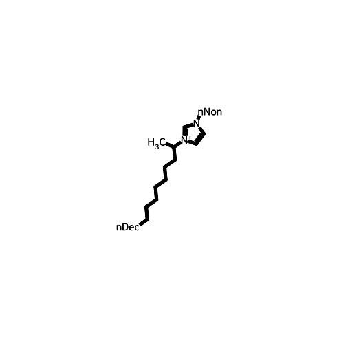 CCCCCCCCCCCCCCCCCC(C)[n+]1ccn(CCCCCCCCC)c1